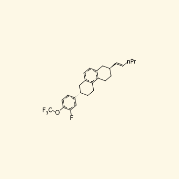 CCCC=C[C@H]1CCc2c(ccc3c2CC[C@H](c2ccc(OC(F)(F)F)c(F)c2)C3)C1